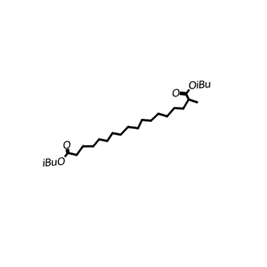 CC(C)COC(=O)CCCCCCCCCCCCCCCC(C)C(=O)OCC(C)C